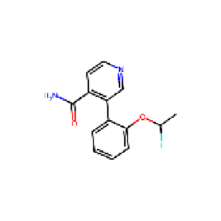 CC(F)Oc1ccccc1-c1cnccc1C(N)=O